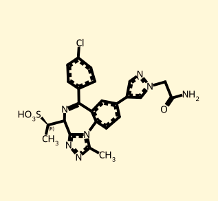 Cc1nnc2n1-c1ccc(-c3cnn(CC(N)=O)c3)cc1C(c1ccc(Cl)cc1)=NC2[C@@H](C)S(=O)(=O)O